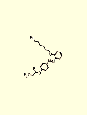 FC(CC(F)(F)F)Oc1ccc(N=Nc2ccccc2OCCCCCCBr)cc1